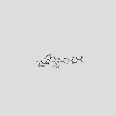 COC(=O)c1cnc(N2CCC(COc3cc4ncnc(Nc5[nH]nc(C)c5C)c4cc3S(=O)(=O)C(C)(C)C)CC2)nc1